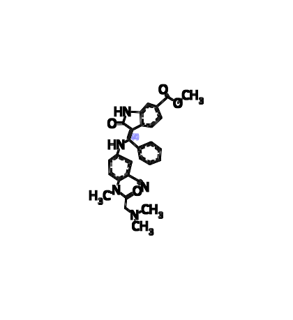 COC(=O)c1ccc2c(c1)NC(=O)/C2=C(\Nc1ccc(N(C)C(=O)CN(C)C)c(C#N)c1)c1ccccc1